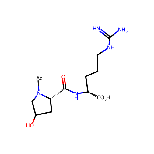 CC(=O)N1CC(O)C[C@H]1C(=O)N[C@@H](CCCNC(=N)N)C(=O)O